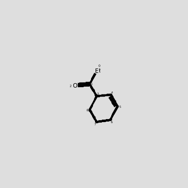 CCC(=O)C1C=CCCC1